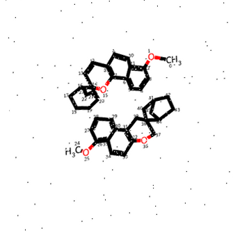 COc1cccc2c3c(ccc12)C=CC1(O3)C2CCCC1CCC2.COc1cccc2c3c(ccc12)OCC1(C3)CC2CCC1C2